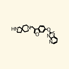 c1cnc2nc(Oc3ccc4c(CN5CCC6(CCNC6)CC5)coc4c3)sc2c1